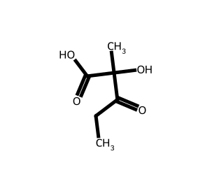 CCC(=O)C(C)(O)C(=O)O